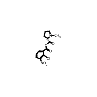 CN1CCC[C@H]1C(=O)OC(=O)c1cccc([N+](=O)[O-])c1Cl